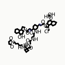 O=C(CNC(=O)C1(C(=O)NCCCCCN2C(=O)CCC2=O)CCC1)NCCC(=O)NC1CC(/C=C/C(=O)N2C[C@@H](CCl)C3C4CCCCC4C(OPO)CC32)CCC1/C=C/C(=O)N1CCC2C3CCCCC3C(O)CC21